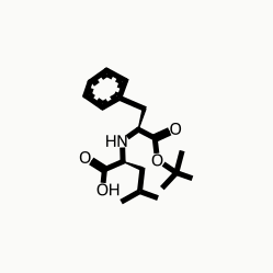 CC(C)C[C@H](N[C@@H](Cc1ccccc1)C(=O)OC(C)(C)C)C(=O)O